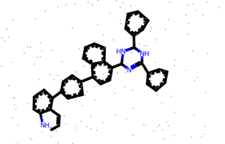 C/C=C\c1c(N)cccc1-c1ccc(-c2ccc(C3N=C(c4ccccc4)NC(c4ccccc4)N3)c3ccccc23)cc1